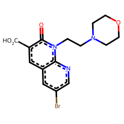 O=C(O)c1cc2cc(Br)cnc2n(CCN2CCOCC2)c1=O